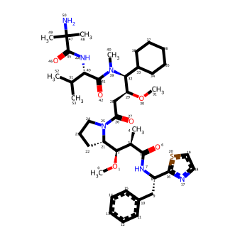 CO[C@H]([C@@H](C)C(=O)N[C@@H](Cc1ccccc1)c1nccs1)[C@@H]1CCCN1C(=O)C[C@H](OC)[C@H](C1CCCCC1)N(C)C(=O)[C@@H](NC(=O)C(C)(C)N)C(C)C